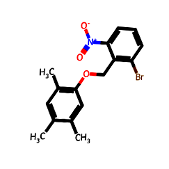 Cc1cc(C)c(OCc2c(Br)cccc2[N+](=O)[O-])cc1C